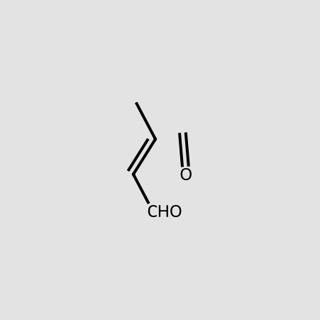 C/C=C/C=O.C=O